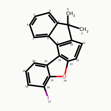 CC1(C)c2ccccc2-c2c1ccc1oc3c(I)cccc3c21